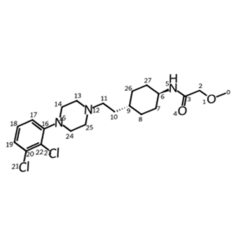 COCC(=O)N[C@H]1CC[C@H](CCN2CCN(c3cccc(Cl)c3Cl)CC2)CC1